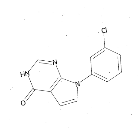 O=c1[nH]cnc2c1ccn2-c1cccc(Cl)c1